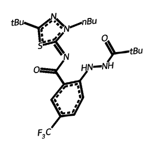 CCCCn1nc(C(C)(C)C)s/c1=N\C(=O)c1cc(C(F)(F)F)ccc1NNC(=O)C(C)(C)C